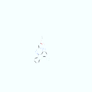 CCOC(=O)C=C1CN=C(c2ccccc2F)c2cc(Cl)ccc2N1